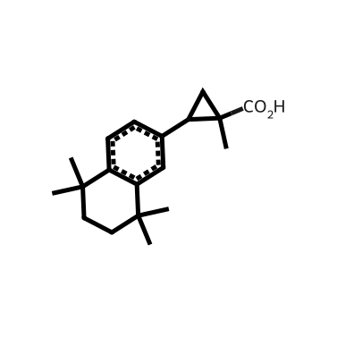 CC1(C)CCC(C)(C)c2cc(C3CC3(C)C(=O)O)ccc21